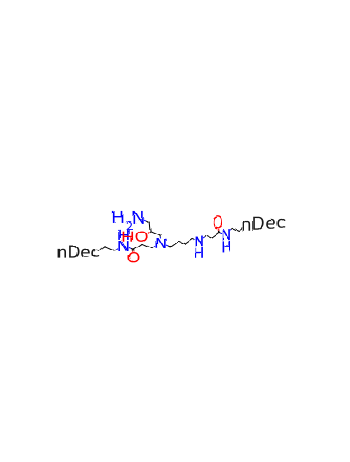 CCCCCCCCCCCCNC(=O)CCNCCCCN(CCC(=O)NCCCCCCCCCCCC)CC(O)CN